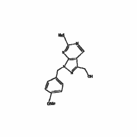 COc1ccc(Cn2nc(CO)c3cnc(SC)nc32)cc1